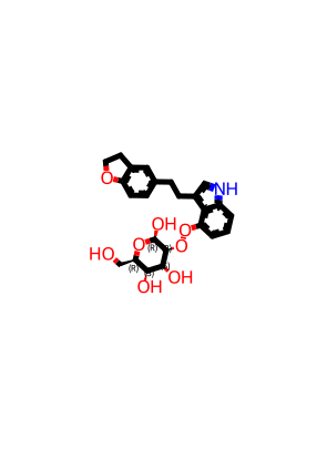 OC[C@H]1O[C@@H](O)[C@H](OOc2cccc3[nH]cc(CCc4ccc5c(c4)CCO5)c23)[C@@H](O)[C@@H]1O